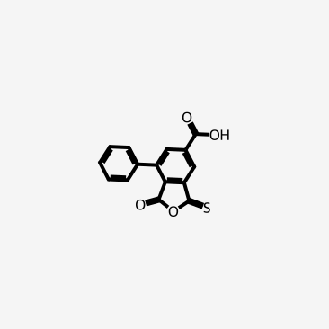 O=C(O)c1cc2c(c(-c3ccccc3)c1)C(=O)OC2=S